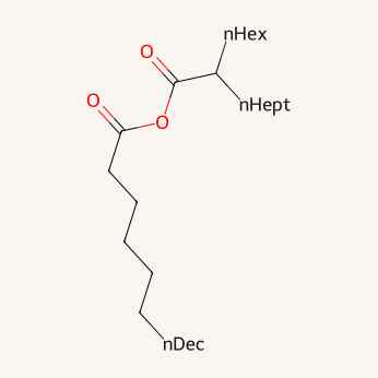 CCCCCCCCCCCCCCCC(=O)OC(=O)C(CCCCCC)CCCCCCC